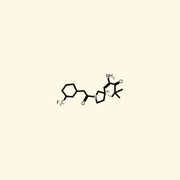 CC1(C)C[C@]2(C=C(N)C1=O)CCN(C(=O)CC1CCCC(C(F)(F)F)C1)C2